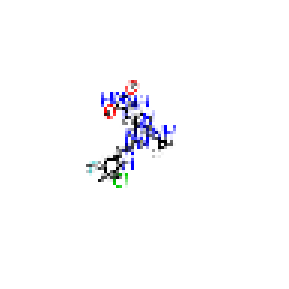 O=C1NC(=O)/C(=C/c2cnn3c(NC4CC4)nc(NCc4cc(F)cc(Cl)c4)nc23)N1